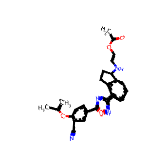 CC(=O)OCCNC1CCc2c(-c3noc(-c4ccc(OC(C)C)c(C#N)c4)n3)cccc21